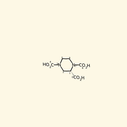 O=C(O)[C@@H]1CN(C(=O)O)CCN1C(=O)O